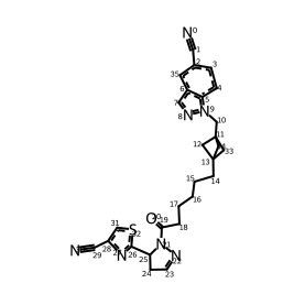 N#Cc1ccc2c(cnn2CC23CC(CCCCCC(=O)N4N=CCC4c4nc(C#N)cs4)(C2)C3)c1